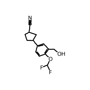 N#CC1CCC(c2ccc(OC(F)F)c(CO)c2)C1